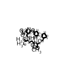 COC(=O)C(COCc1ccccc1)NC(=O)CC[C@H](NCc1cc(Oc2ccccc2)ncc1[N+](=O)[O-])C(C)C